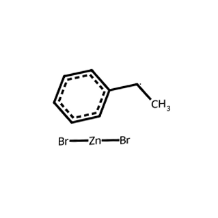 C[CH]c1ccccc1.[Br][Zn][Br]